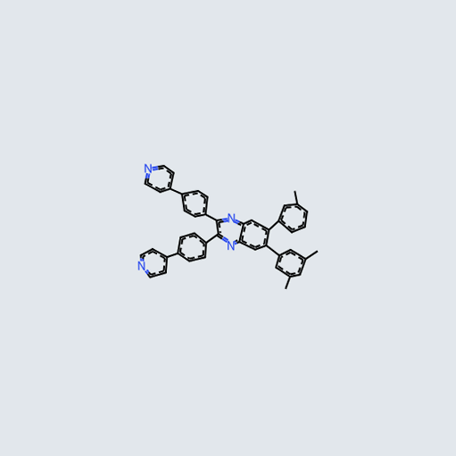 Cc1cccc(-c2cc3nc(-c4ccc(-c5ccncc5)cc4)c(-c4ccc(-c5ccncc5)cc4)nc3cc2-c2cc(C)cc(C)c2)c1